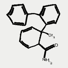 CC1(c2ccccc2-c2ccccc2)C=CC=CC1C(N)=O